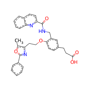 Cc1oc(-c2ccccc2)nc1CCOc1ccc(CCC(=O)O)cc1CNC(=O)c1ccc2ccccc2n1